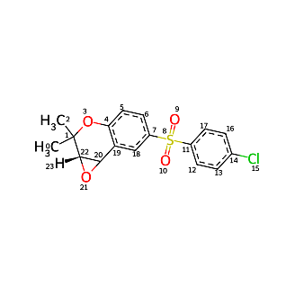 CC1(C)Oc2ccc(S(=O)(=O)c3ccc(Cl)cc3)cc2C2O[C@@H]21